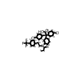 CCc1nc2ccc(C(C(=O)O)(c3ccc(Cl)cc3)c3ccc(Cl)cc3)cc2n1CCc1ccc(C(F)(F)F)cc1